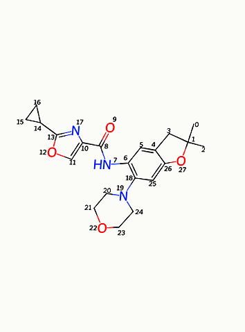 CC1(C)Cc2cc(NC(=O)c3coc(C4CC4)n3)c(N3CCOCC3)cc2O1